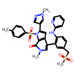 Cc1ccc(S(=O)(=O)n2c(-c3cnn(C)c3)cc3c(-c4cc(CS(C)(=O)=O)ccc4Nc4ccccn4)cn(C)c(=O)c32)cc1